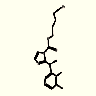 Cc1cccc([C@H](C)c2nccn2C(=O)OCCCCC(C)C)c1C